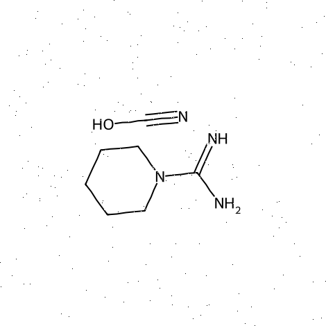 N#CO.N=C(N)N1CCCCC1